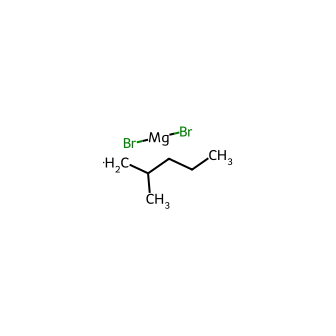 [Br][Mg][Br].[CH2]C(C)CCC